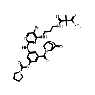 CC(C)(C(N)=O)C(=O)NCCCNc1nc(Nc2cc(NC(=O)N3CCCC3)cc(C(=O)N3CC4CC3C(=O)O4)c2)ncc1Br